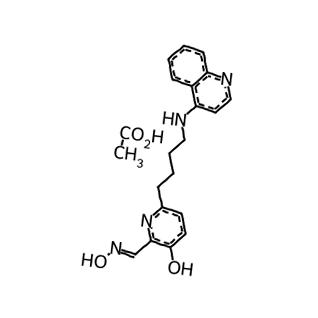 CC(=O)O.ON=Cc1nc(CCCCNc2ccnc3ccccc23)ccc1O